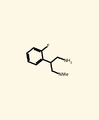 CNCC(CN)c1ccccc1F